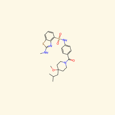 CNc1nc2c(S(=O)(=O)Nc3ccc(C(=O)N4CCC(CC(C)C)(OC)CC4)cc3)cccc2s1